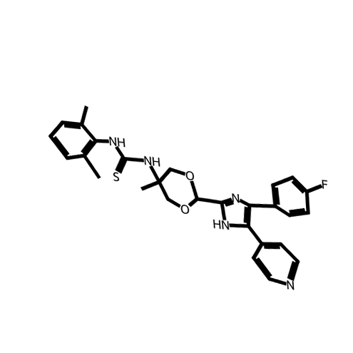 Cc1cccc(C)c1NC(=S)NC1(C)COC(c2nc(-c3ccc(F)cc3)c(-c3ccncc3)[nH]2)OC1